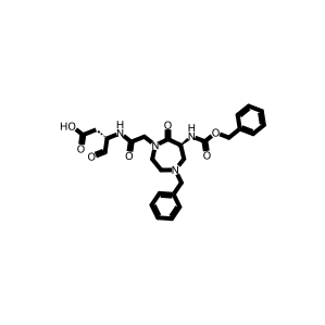 O=C[C@H](CC(=O)O)NC(=O)CN1CCN(Cc2ccccc2)C[C@H](NC(=O)OCc2ccccc2)C1=O